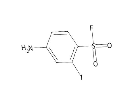 Nc1ccc(S(=O)(=O)F)c(I)c1